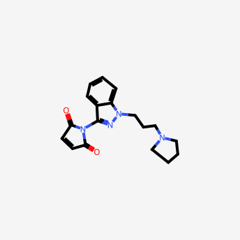 O=C1C=CC(=O)N1c1nn(CCCN2CCCC2)c2ccccc12